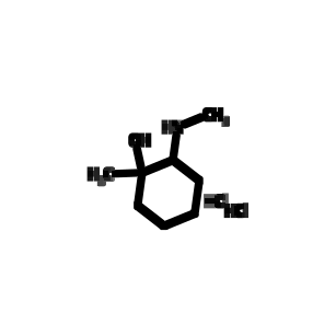 CNC1CCCCC1(C)O.Cl.Cl